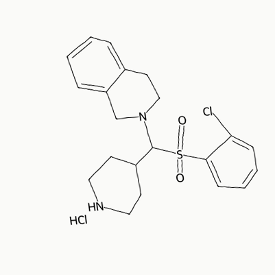 Cl.O=S(=O)(c1ccccc1Cl)C(C1CCNCC1)N1CCc2ccccc2C1